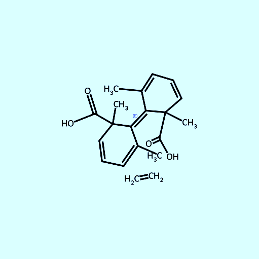 C=C.CC1=CC=CC(C)(C(=O)O)/C1=C1\C(C)=CC=CC1(C)C(=O)O